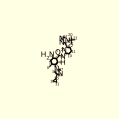 Cc1cc(N)c(C(=O)Nc2cccc(-c3nncn3C(C)(C)C)n2)cc1-n1cnc(C2CC2)c1